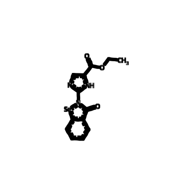 CCOC(=O)c1cnc(-n2[se]c3ccccc3c2=O)[nH]1